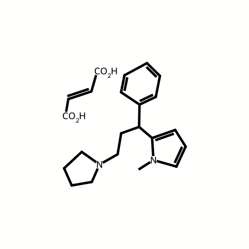 Cn1cccc1C(CCN1CCCC1)c1ccccc1.O=C(O)C=CC(=O)O